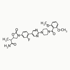 COc1cccc(OC)c1C(=O)N1CCN(c2ncc(-c3ccc(N4CC(C(C)C(N)=O)OC4=O)cc3F)cn2)CC1